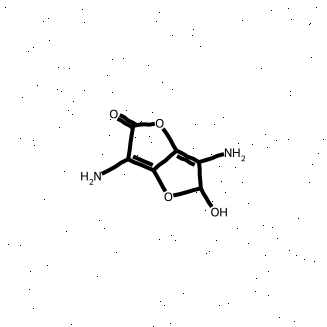 NC1=C2OC(O)C(N)=C2OC1=O